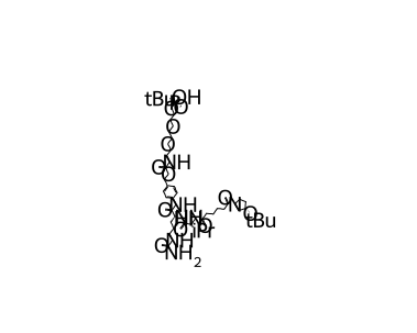 CC(C)[C@H](NC(=O)CCCCC(=O)N1CC[C@H](OC(C)(C)C)C1)C(=O)N[C@@H](CCCNC(N)=O)C(=O)Nc1ccc(COC(=O)NCCOCCOCCOP(=O)(O)C(C)(C)C)cc1